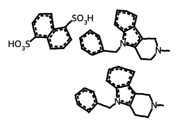 CN1CCc2c(c3ccccc3n2Cc2ccccc2)C1.CN1CCc2c(c3ccccc3n2Cc2ccccc2)C1.O=S(=O)(O)c1cccc2c(S(=O)(=O)O)cccc12